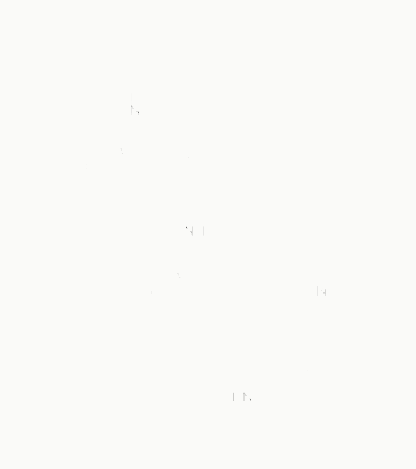 Cc1cc(C)c(CNC(=O)c2cc(Br)c3cc[nH]c3c2C)c(=O)[nH]1